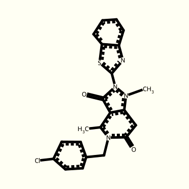 Cc1c2c(=O)n(-c3nc4ccccc4s3)n(C)c2cc(=O)n1Cc1ccc(Cl)cc1